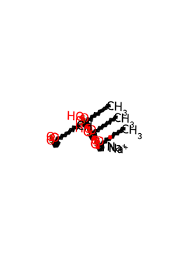 CCCCCCCCCCCCc1ccccc1S(=O)(=O)O.CCCCCCCCCCCCc1ccccc1S(=O)(=O)O.CCCCCCCCCCCCc1ccccc1S(=O)(=O)[O-].CCCCCCCCCCCCc1ccccc1S(=O)(=O)[O-].[Na+].[Na+]